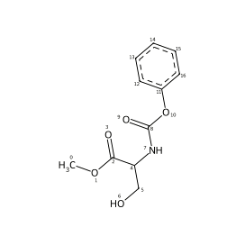 COC(=O)C(CO)NC(=O)Oc1ccccc1